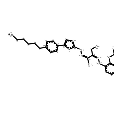 CCOc1ccccc1N/N=C(CO)\C(C)=N/Nc1nc(-c2ccc(CCCCCN)cc2)cs1